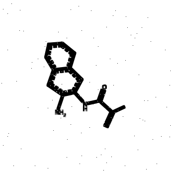 C=C(C)C(=O)Nc1cc2ccccc2cc1N